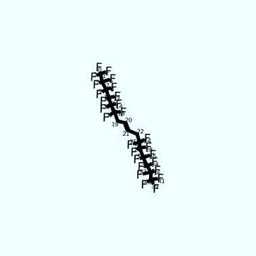 FC(F)(F)C(F)(F)C(F)(F)C(F)(F)C(F)(F)C(F)(F)CC=CCC(F)(F)C(F)(F)C(F)(F)C(F)(F)C(F)(F)C(F)(F)F